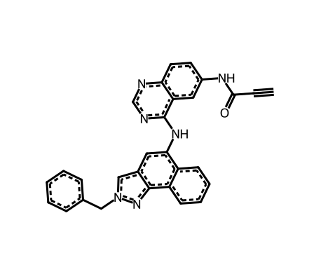 C#CC(=O)Nc1ccc2ncnc(Nc3cc4cn(Cc5ccccc5)nc4c4ccccc34)c2c1